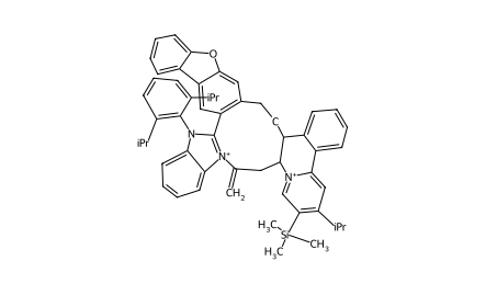 C=C1CC2C(CCc3cc4oc5ccccc5c4cc3-c3n(-c4c(C(C)C)cccc4C(C)C)c4ccccc4[n+]31)c1ccccc1-c1cc(C(C)C)c([Si](C)(C)C)c[n+]12